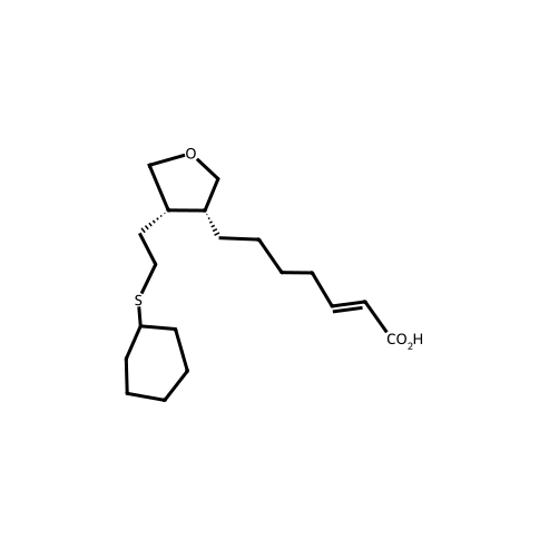 O=C(O)C=CCCCC[C@H]1COC[C@H]1CCSC1CCCCC1